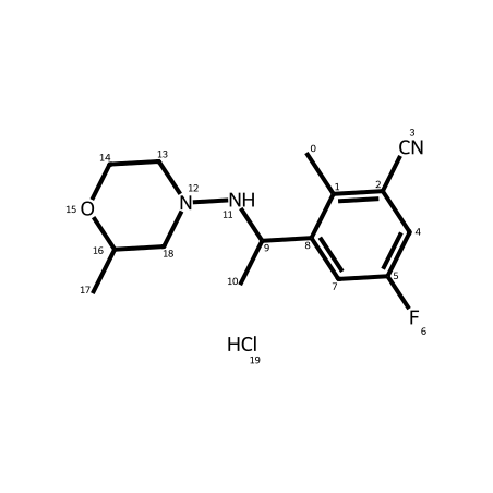 Cc1c(C#N)cc(F)cc1C(C)NN1CCOC(C)C1.Cl